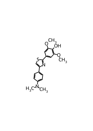 COc1cc(-c2nc(-c3ccc(N(C)C)cc3)cs2)cc(OC)c1O